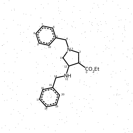 CCOC(=O)C1CN(Cc2ccccc2)CC1NCc1ccccc1